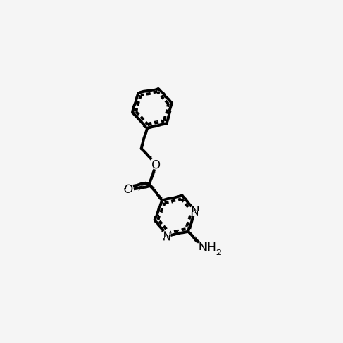 Nc1ncc(C(=O)OCc2ccccc2)cn1